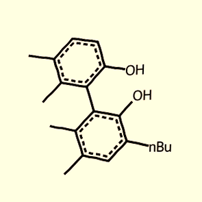 CCCCc1cc(C)c(C)c(-c2c(O)ccc(C)c2C)c1O